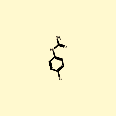 C[CH]c1ccc(NC(N)=O)cc1